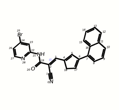 N#C/C(=C\C1=CC(c2cccc3ccccc23)=CC1)C(=O)Nc1cc(Br)ccn1